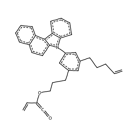 C=CCCCc1cc(CCCOC(=C=O)C=C)cc(-n2c3ccccc3c3c4ccccc4ccc32)c1